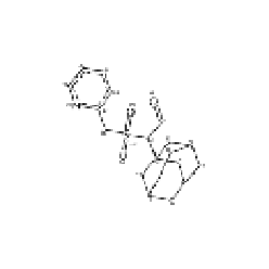 O=CC(C12CC3CC(CC(C3)C1)C2)S(=O)(=O)Cc1ccccn1